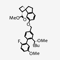 COC(=O)[C@@H]1CC[C@@]12CCc1ccc(OCc3ccc(-c4cc(OC)ccc4F)c([C@H](OC)C(C)(C)C)c3)cc12